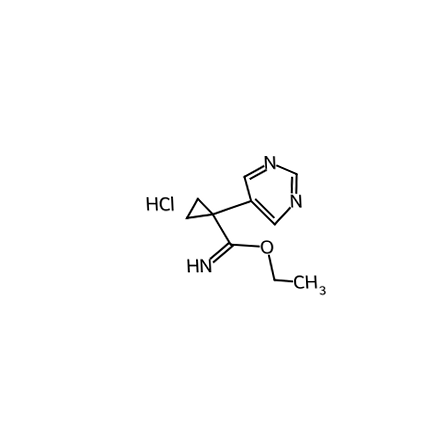 CCOC(=N)C1(c2cncnc2)CC1.Cl